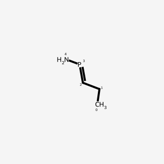 CC/C=P/N